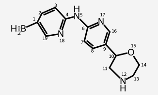 Bc1ccc(Nc2ccc(C3CNCCO3)cn2)nc1